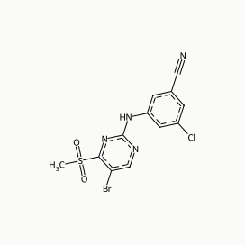 CS(=O)(=O)c1nc(Nc2cc(Cl)cc(C#N)c2)ncc1Br